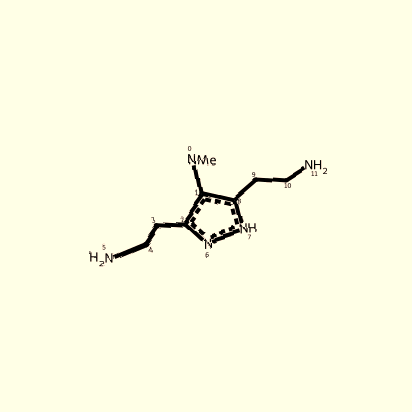 CNc1c(CCN)n[nH]c1CCN